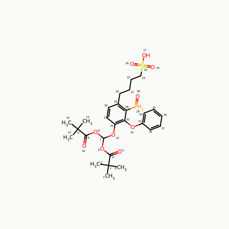 CC(C)(C)C(=O)OC(OC(=O)C(C)(C)C)Oc1ccc(CCCCS(=O)(=O)O)c([PH2]=O)c1Oc1ccccc1